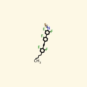 CCCCCc1cc(F)c(C#Cc2ccc(-c3cc(F)c(N=C=S)c(F)c3)c(F)c2)c(F)c1